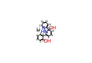 Oc1ccccc1C1=CC=CC(O)(c2ccccn2)N1.[Li]